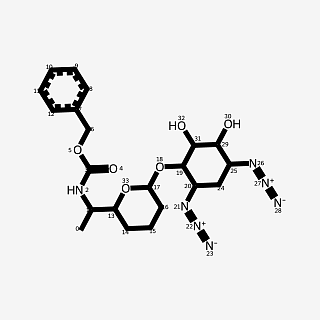 CC(NC(=O)OCc1ccccc1)C1CCCC(OC2C(N=[N+]=[N-])CC(N=[N+]=[N-])C(O)C2O)O1